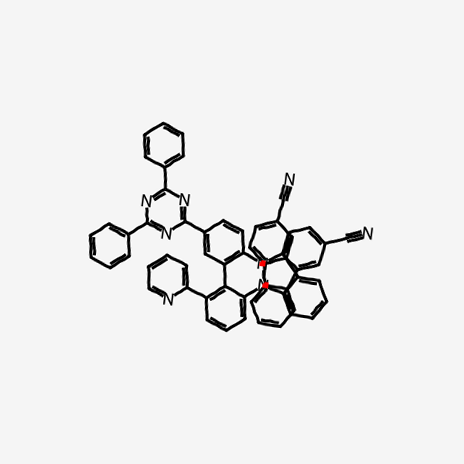 N#Cc1ccc2c(c1)c1ccccc1n2-c1ccc(-c2nc(-c3ccccc3)nc(-c3ccccc3)n2)cc1-c1c(-c2ccccn2)cccc1-n1c2ccccc2c2cc(C#N)ccc21